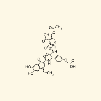 CCn1cc(C(=O)NC(C(=O)N[C@@H]2C(=O)N3C(C(=O)O)=C(COC(C)=O)CS[C@H]23)c2ccc(OCC(=O)O)cc2)c(=O)c2cc(O)c(O)cc21